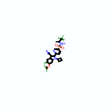 CC(NS(=O)(=O)c1ccc(-c2c(C#N)c3cc(F)c(OC(F)F)cc3n2C2CCC2)nc1)C(F)(F)F